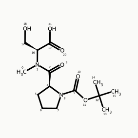 CN(C(=O)[C@@H]1CCCN1C(=O)OC(C)(C)C)[C@@H](CO)C(=O)O